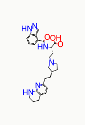 O=C(N[C@@H](CCN1CC[C@@H](CCc2ccc3c(n2)NCCC3)C1)C(=O)O)c1cccc2[nH]ncc12